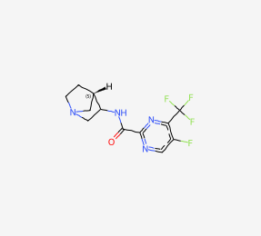 O=C(NC1CN2CC[C@H]1C2)c1ncc(F)c(C(F)(F)F)n1